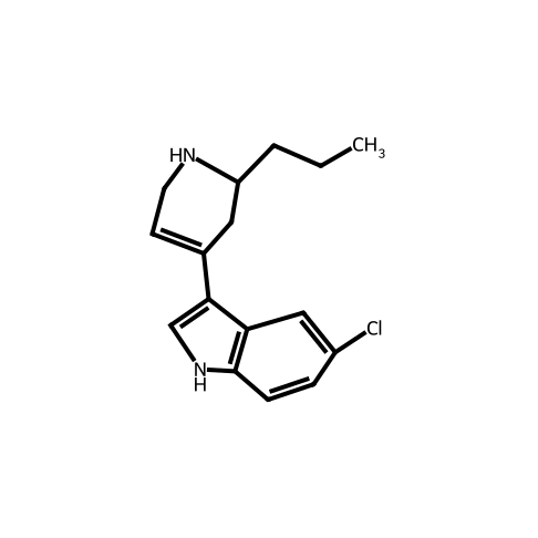 CCCC1CC(c2c[nH]c3ccc(Cl)cc23)=CCN1